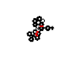 CC(C)(C)c1ccc(-c2ccc(N(C3=CC4=C(CC3)C(c3ccccc3)(c3ccccc3)c3ccccc34)c3ccc4ccccc4c3-c3c#ccc4oc5ccccc5c34)c(-c3ccccc3)c2)cc1